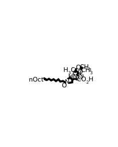 CCCCCCCCC=CCCCCCCCC(=O)N1CCC(C(CC(=O)O)NC(=O)C2OC(C)(C)OCC2(C)C)CC1